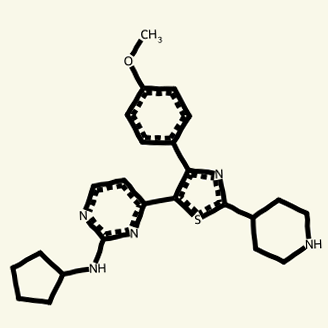 COc1ccc(-c2nc(C3CCNCC3)sc2-c2ccnc(NC3CCCC3)n2)cc1